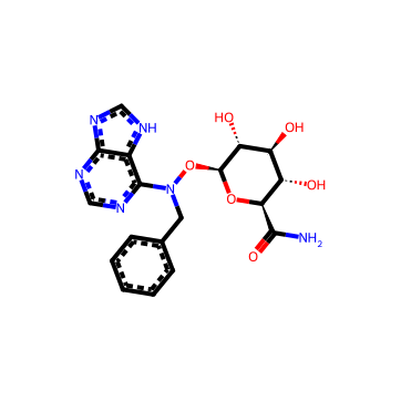 NC(=O)[C@H]1O[C@@H](ON(Cc2ccccc2)c2ncnc3nc[nH]c23)[C@H](O)[C@@H](O)[C@@H]1O